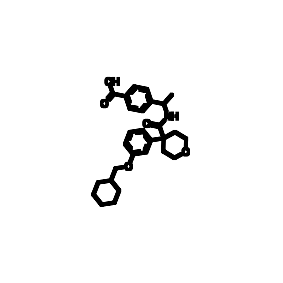 CC(NC(=O)C1(c2cccc(OCC3CCCCC3)c2)CCOCC1)c1ccc(C(=O)O)cc1